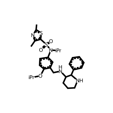 Cc1nc(C)c(S(=O)(=O)N(c2ccc(OC(C)C)c(CNC3CCCNC3c3ccccc3)c2)C(C)C)s1